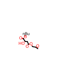 CCCCOC(=O)C(O)CC(=O)OCC1CO1